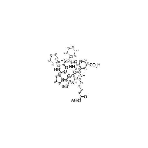 COC(=O)/C=C/CC[C@H](NC(=O)c1cncc(C(=O)O)c1)C(=O)NC(C(=O)N1CCC[C@H]1C(=O)NC(C(=O)N[C@H](C(N)=O)C1CCCCC1)C1CCCCC1)C(C)(C)C